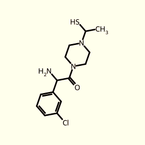 CC(S)N1CCN(C(=O)C(N)c2cccc(Cl)c2)CC1